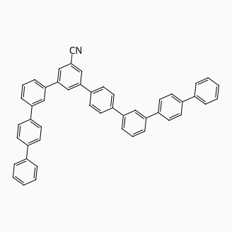 N#Cc1cc(-c2ccc(-c3cccc(-c4ccc(-c5ccccc5)cc4)c3)cc2)cc(-c2cccc(-c3ccc(-c4ccccc4)cc3)c2)c1